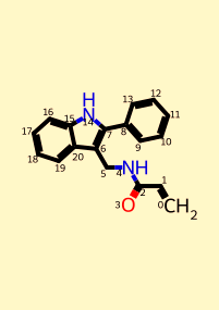 C=CC(=O)NCc1c(-c2ccccc2)[nH]c2ccccc12